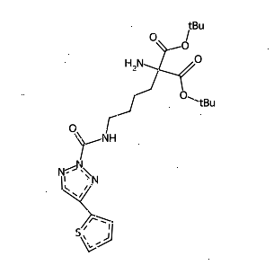 CC(C)(C)OC(=O)C(N)(CCCCNC(=O)n1ncc(-c2cccs2)n1)C(=O)OC(C)(C)C